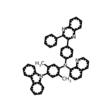 Cc1cc(-n2c3ccccc3c3ccccc32)c(C)cc1N(c1ccc(-c2nc3ccccc3nc2-c2ccccc2)cc1)c1cccc2cccnc12